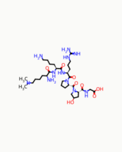 CN(C)CCCC[C@H](N)C(=O)N[C@@H](CCCCN)C(=O)N[C@@H](CCCNC(=N)N)C(=O)N1CCC[C@H]1C(=O)N1C[C@H](O)C[C@H]1C(=O)NCC(=O)O